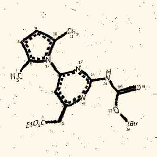 CCOC(=O)Cc1cc(-n2c(C)ccc2C)nc(NC(=O)OC(C)(C)C)n1